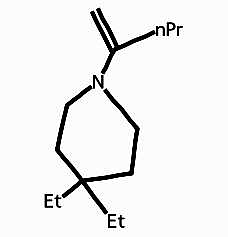 C=C(CCC)N1CCC(CC)(CC)CC1